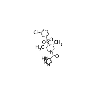 C[C@@H]1CN(C(=O)c2cnn[nH]2)C[C@H](C)N1S(=O)(=O)c1cccc(Cl)c1